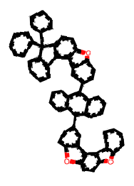 c1ccc(C2(c3ccccc3)c3ccccc3-c3c2ccc2oc4ccc(-c5c6ccccc6c(-c6ccc7oc8ccc9oc%10ccccc%10c9c8c7c6)c6ccccc56)cc4c32)cc1